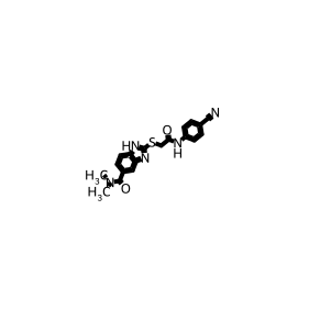 CN(C)C(=O)c1ccc2[nH]c(SCC(=O)Nc3ccc(C#N)cc3)nc2c1